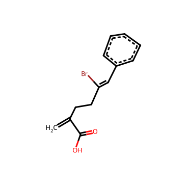 C=C(CCC(Br)=Cc1ccccc1)C(=O)O